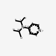 CC(C)N(c1c[c]ncc1)C(C)C